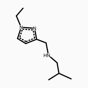 CCn1ccc(CNCC(C)C)n1